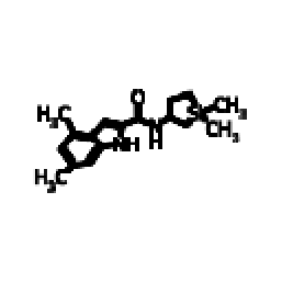 Cc1cc(C)c2cc(C(=O)NC3CC[Si](C)(C)C3)[nH]c2c1